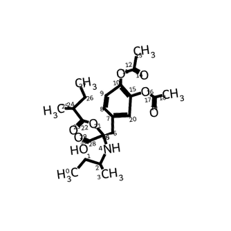 CCC(C)N[C@@](Cc1ccc(OC(C)=O)c(OC(C)=O)c1)(OC(=O)C(C)CC)C(=O)O